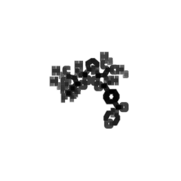 CC(C)[C@@H](NC(=O)c1ccc(C(=O)N2CCOCC2)cc1)C(=O)N1CCC[C@@H]1C(=O)N[C@@H](C(=O)C(F)(F)C(F)(F)F)C(C)C